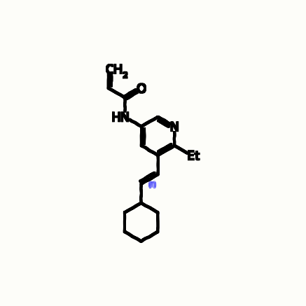 C=CC(=O)Nc1cnc(CC)c(/C=C/C2CCCCC2)c1